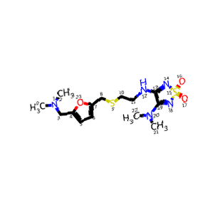 CN(C)Cc1ccc(CSCCNC2=NS(=O)(=O)N=C2N(C)C)o1